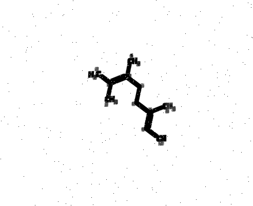 CC(C)=C(C)CC/C(C)=C/C#N